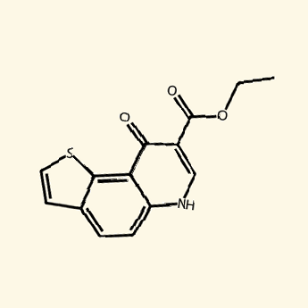 CCOC(=O)c1c[nH]c2ccc3ccsc3c2c1=O